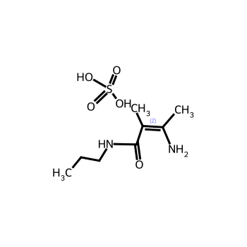 CCCNC(=O)/C(C)=C(/C)N.O=S(=O)(O)O